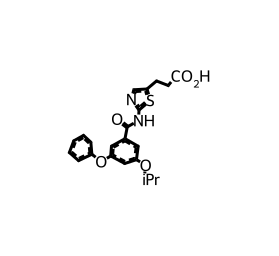 CC(C)Oc1cc(Oc2ccccc2)cc(C(=O)Nc2ncc(CCC(=O)O)s2)c1